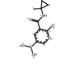 CC1(NC(=O)c2cc(B(O)O)cnc2Cl)CC1